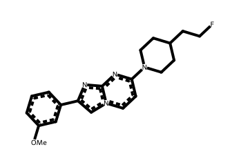 COc1cccc(-c2cn3ccc(N4CCC(CCF)CC4)nc3n2)c1